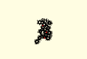 CC1(C)c2ccccc2-c2ccc(N(c3ccccc3)c3ccc(-c4ccc5c(c4)C4(c6ccccc6O5)c5ccc6cc5-c5c(cccc54)N(c4ccc(-c5ccccc5)cc4)c4ccc5c(c4)C6(C)c4ccccc4-5)cc3)cc21